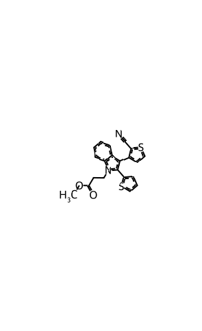 COC(=O)CCn1c(-c2cccs2)c(-c2ccsc2C#N)c2ccccc21